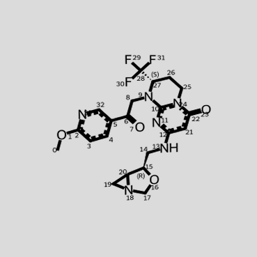 COc1ccc(C(=O)CN2c3nc(NC[C@H]4OCN5CC45)cc(=O)n3CC[C@H]2C(F)(F)F)cn1